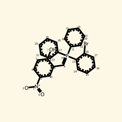 O=[N+]([O-])c1ccc(O)c(C=P(c2ccccc2)(c2ccccc2)c2ccccc2Br)c1